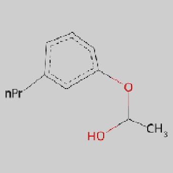 CCCc1cccc(OC(C)O)c1